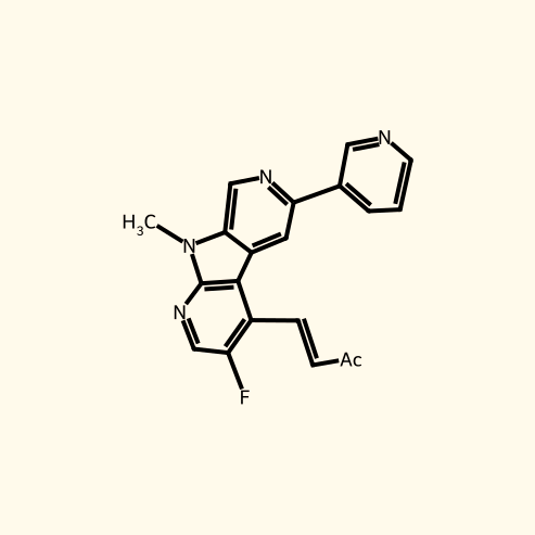 CC(=O)/C=C/c1c(F)cnc2c1c1cc(-c3cccnc3)ncc1n2C